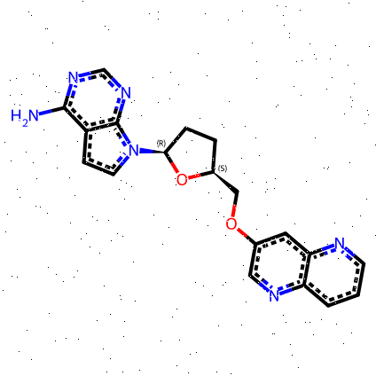 Nc1ncnc2c1ccn2[C@H]1CC[C@@H](COc2cnc3cccnc3c2)O1